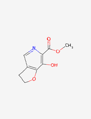 COC(=O)c1ncc2c(c1O)OCC2